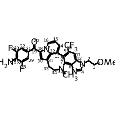 COCCn1cnc2c3c(c(C(F)(F)F)cc21)-c1cccn2c(C(=O)c4cc(F)c(N)c(F)c4)cc(c12)CCN3C